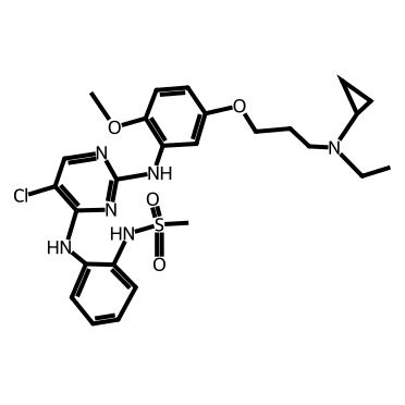 CCN(CCCOc1ccc(OC)c(Nc2ncc(Cl)c(Nc3ccccc3NS(C)(=O)=O)n2)c1)C1CC1